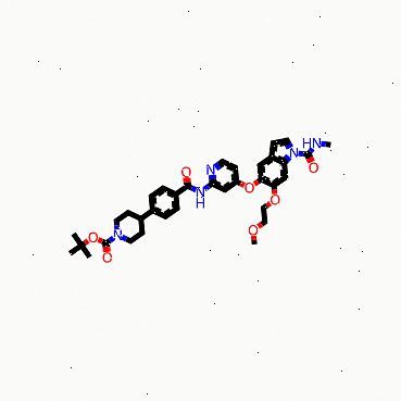 CNC(=O)n1ccc2cc(Oc3ccnc(NC(=O)c4ccc(C5CCN(C(=O)OC(C)(C)C)CC5)cc4)c3)c(OCCOC)cc21